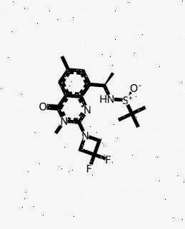 Cc1cc([C@@H](C)N[S@+]([O-])C(C)(C)C)c2nc(N3CC(F)(F)C3)n(C)c(=O)c2c1